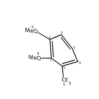 COc1cccc(C(F)(F)F)c1OC